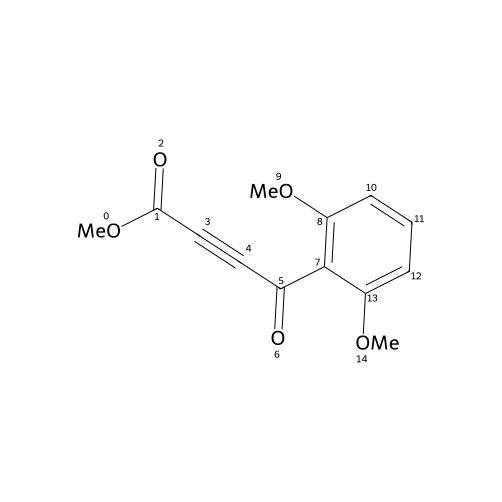 COC(=O)C#CC(=O)c1c(OC)cccc1OC